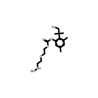 CC(=O)CC(C)(C)c1c(C)cc(C)cc1OC(=O)OCCOCCNC(C)(C)C